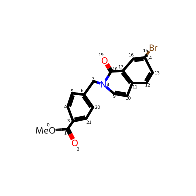 COC(=O)c1ccc(Cn2ccc3ccc(Br)cc3c2=O)cc1